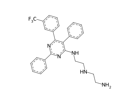 NCCNCCNc1nc(-c2ccccc2)nc(-c2cccc(C(F)(F)F)c2)c1-c1ccccc1